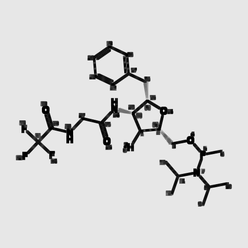 [2H]C1[C@@H](COP(C)N(C(C)C)C(C)C)O[C@@H](Cc2ccccc2)[C@H]1NC(=O)CNC(=O)C(F)(F)F